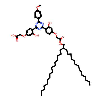 CCCCCCCCCCCCCCCCC(CCCCCCCCCCCCCC)COC(=O)COc1ccc(-c2nc(-c3ccc(OC)cc3)nc(-c3ccc(OCC(=O)O)cc3O)n2)c(O)c1